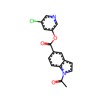 CC(=O)n1ccc2cc(C(=O)Oc3cncc(Cl)c3)ccc21